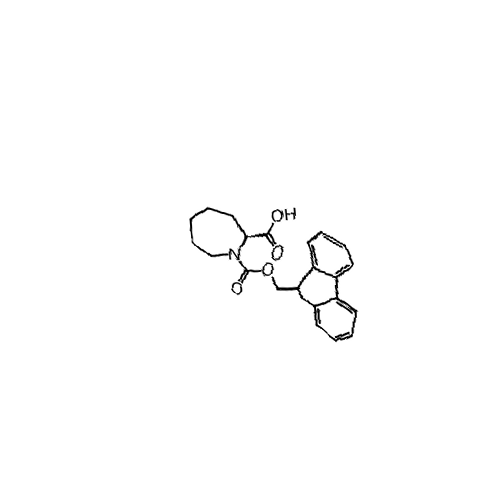 O=C(O)[C@@H]1CCCCCN1C(=O)OCC1c2ccccc2-c2ccccc21